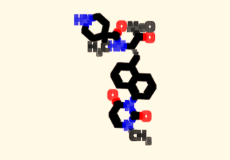 COC(=O)[C@H](Cc1cccc2c(-n3c(=O)ccn(C)c3=O)cccc12)NC(=O)C1(C)CCNCC1